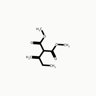 C=C(CC)C(C(=O)OC)C(=O)OC